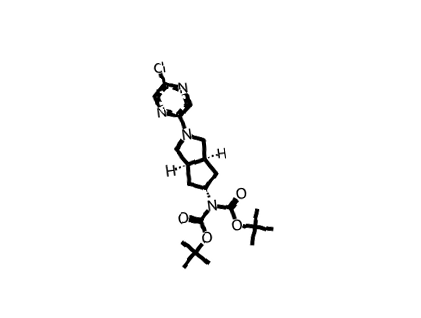 CC(C)(C)OC(=O)N(C(=O)OC(C)(C)C)[C@H]1C[C@@H]2CN(c3cnc(Cl)cn3)C[C@@H]2C1